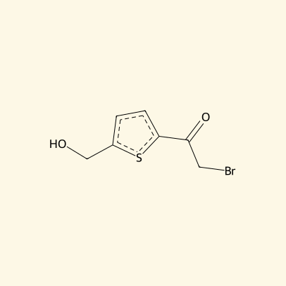 O=C(CBr)c1ccc(CO)s1